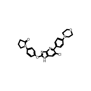 O=C1CCCN1c1ccc(Oc2nc3nc(-c4ccc(N5CCOCC5)cc4)c(Cl)cc3[nH]2)cc1